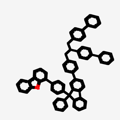 c1ccc(-c2ccc(CC(Cc3ccc(-c4ccc5c(c4)C(c4ccccc4)(c4ccc(-c6cccc7c6oc6ccccc67)cc4)c4ccccc4-5)cc3)c3ccc(-c4ccccc4)cc3)cc2)cc1